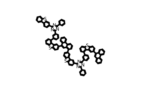 c1ccc(-c2nc(-c3cccc(-c4cccc5sc6ccc(-c7cc8c(-c9ccc%10sc%11ccc(-c%12nc(-c%13ccccc%13)nc(-c%13cccc(-c%14cccc%15sc%16ccc(-c%17cc%18ccccc%18c%18ccccc%17%18)cc%16c%14%15)c%13)n%12)cc%11c%10c9)cccc8c8ccccc78)cc6c45)c3)nc(-c3ccc4c(c3)sc3ccccc34)n2)cc1